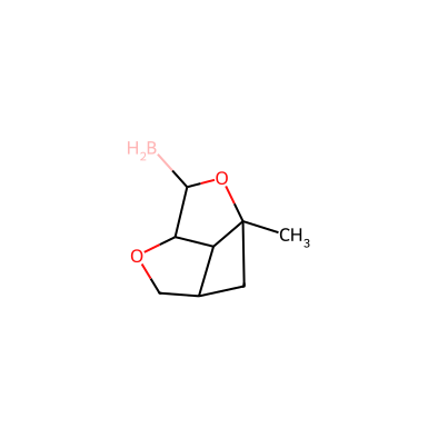 BC1OC2(C)CC3COC1C32